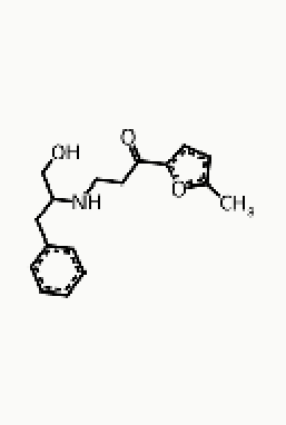 Cc1ccc(C(=O)CCNC(CO)Cc2ccccc2)o1